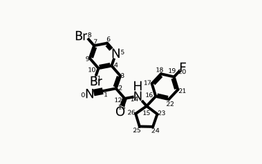 N#CC(=Cc1ncc(Br)cc1Br)C(=O)NC1(c2ccc(F)cc2)CCCC1